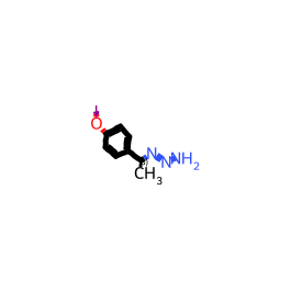 C[C@H](N=NN)c1ccc(OI)cc1